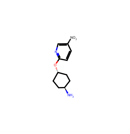 N[C@H]1CC[C@H](Oc2ccc([N+](=O)[O-])cn2)CC1